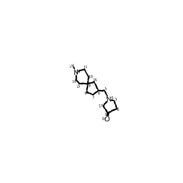 O=C1CCN(CC2CCC3(CCN(I)CC3)C2)C1